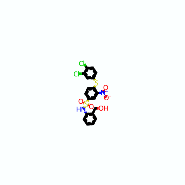 O=[N+]([O-])c1cc(S(=O)(=O)Nc2ccccc2CO)ccc1Sc1ccc(Cl)c(Cl)c1